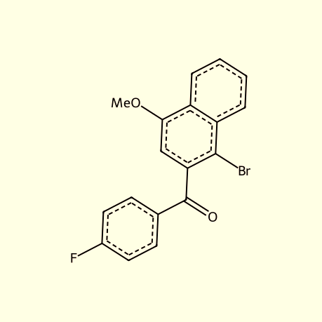 COc1cc(C(=O)c2ccc(F)cc2)c(Br)c2ccccc12